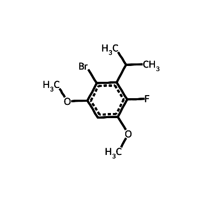 COc1cc(OC)c(Br)c(C(C)C)c1F